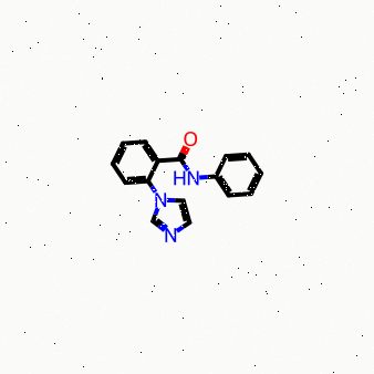 O=C(Nc1ccccc1)c1ccccc1-n1ccnc1